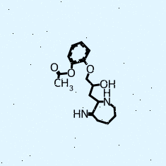 CC(=O)Oc1ccccc1OCC(O)CC1NCCCCC1=N